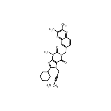 CC#CCn1c(N2CCC[C@@H](N)C2)nc2c1c(=O)n(Cc1ccc3nc(C)c(C)nc3c1)c(=O)n2C